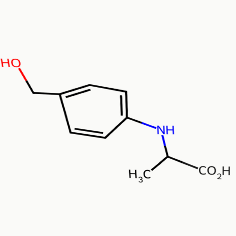 CC(Nc1ccc(CO)cc1)C(=O)O